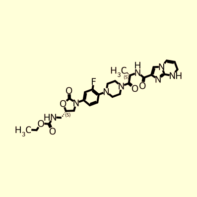 CCOC(=O)NC[C@H]1CN(c2ccc(N3CCN(C(=O)[C@H](C)NC(=O)c4cn5c(n4)NCC=C5)CC3)c(F)c2)C(=O)O1